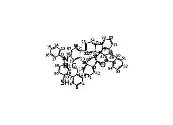 CCc1ccccc1-c1cc(N(c2ccccc2)c2ccc(-c3ccc4c(c3)C3(c5ccccc5-4)c4ccc5ccccc5c4Oc4c3ccc3ccccc43)cc2)ccc1S